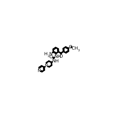 COc1ccc(C(=O)c2cccc(N)c2NC(=O)NC2CCN(c3ccncc3)CC2)cc1